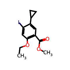 CCOc1cc(I)c(C2CC2)cc1C(=O)OC